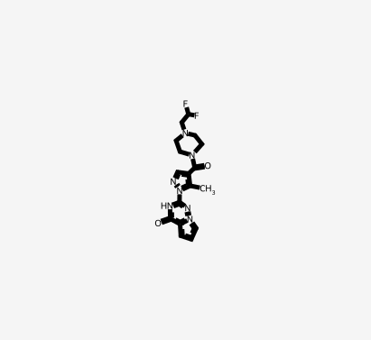 Cc1c(C(=O)N2CCN(CC(F)F)CC2)cnn1-c1nn2cccc2c(=O)[nH]1